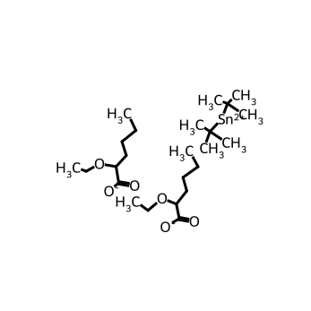 CCCCC(OCC)C(=O)[O-].CCCCC(OCC)C(=O)[O-].C[C](C)(C)[Sn+2][C](C)(C)C